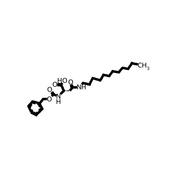 CCCCCCCCCCCCNC(=O)C[C@H](NC(=O)OCc1ccccc1)C(=O)O